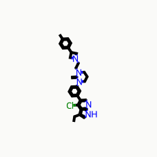 C=C1N(CCN2CC(c3ccc(C)cc3)C2)CCCN1c1cccc(-c2cnc3[nH]cc(CC)c3c2Cl)c1